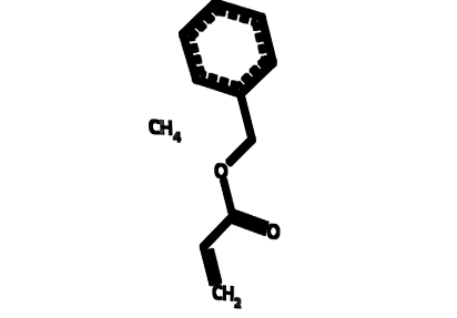 C.C=CC(=O)OCc1ccccc1